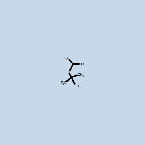 CC(O)OC(C)(C)C(F)(F)F